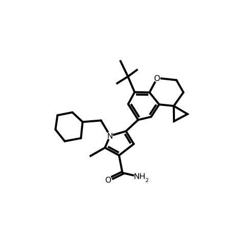 Cc1c(C(N)=O)cc(-c2cc(C(C)(C)C)c3c(c2)C2(CCO3)CC2)n1CC1CCCCC1